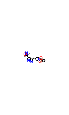 Cc1noc(C)c1-c1cnc2c(c1)c(CC1CCN(S(=O)(=O)C3CCCC3)CC1)cn2C